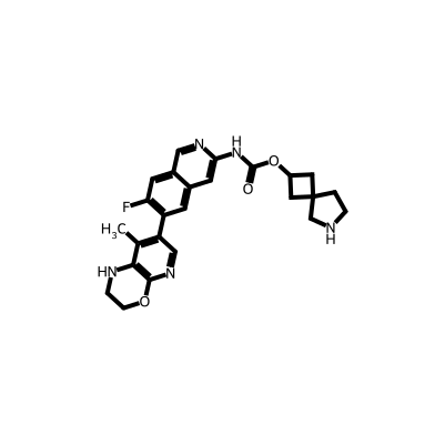 Cc1c(-c2cc3cc(NC(=O)OC4CC5(CCNC5)C4)ncc3cc2F)cnc2c1NCCO2